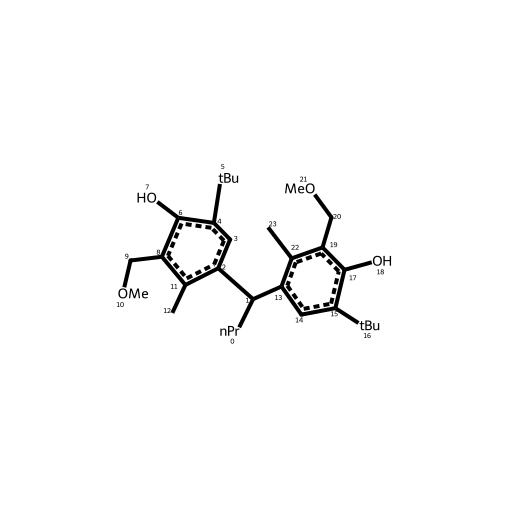 CCCC(c1cc(C(C)(C)C)c(O)c(COC)c1C)c1cc(C(C)(C)C)c(O)c(COC)c1C